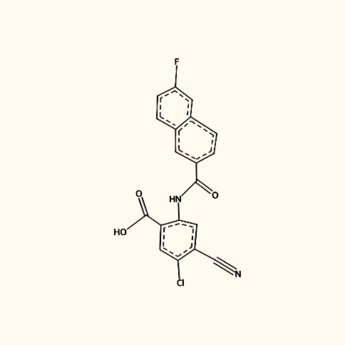 N#Cc1cc(NC(=O)c2ccc3cc(F)ccc3c2)c(C(=O)O)cc1Cl